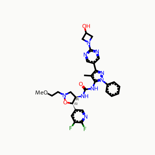 COCCN1C[C@@H](NC(=O)Nc2c(C)c(-c3cnc(N4CC(O)C4)nc3)nn2-c2ccccc2)[C@H](c2cnc(F)c(F)c2)O1